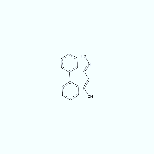 ON=CC=NO.c1ccc(-c2ccccc2)cc1